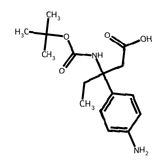 CCC(CC(=O)O)(NC(=O)OC(C)(C)C)c1ccc(N)cc1